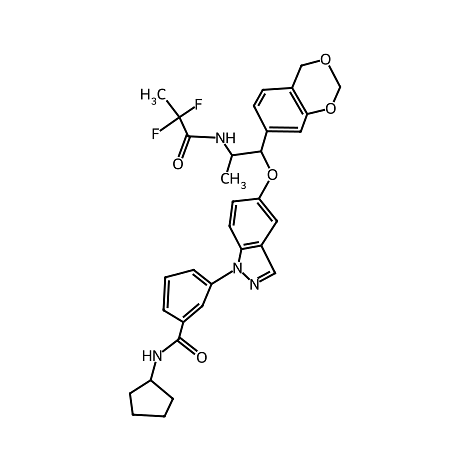 CC(NC(=O)C(C)(F)F)C(Oc1ccc2c(cnn2-c2cccc(C(=O)NC3CCCC3)c2)c1)c1ccc2c(c1)OCOC2